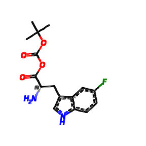 CC(C)(C)OC(=O)OC(=O)[C@@H](N)Cc1c[nH]c2ccc(F)cc12